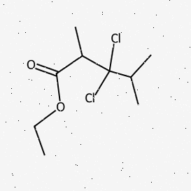 CCOC(=O)C(C)C(Cl)(Cl)C(C)C